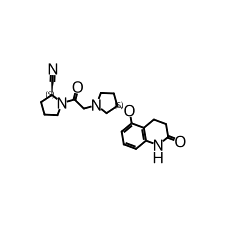 N#C[C@@H]1CCCN1C(=O)CN1CC[C@H](Oc2cccc3c2CCC(=O)N3)C1